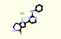 Cl.O=C1NCCc2[nH]c(-c3ccnc(Nc4ccccc4)n3)cc21